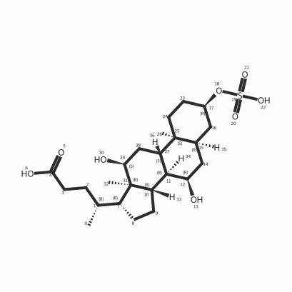 C[C@H](CCC(=O)O)[C@H]1CC[C@H]2[C@@H]3[C@H](O)C[C@@H]4C[C@H](OS(=O)(=O)O)CC[C@]4(C)[C@H]3C[C@H](O)[C@]12C